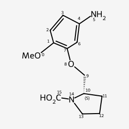 COc1ccc(N)cc1OC[C@@H]1CCCN1C(=O)O